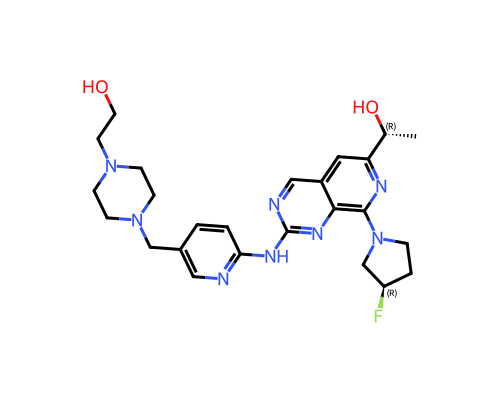 C[C@@H](O)c1cc2cnc(Nc3ccc(CN4CCN(CCO)CC4)cn3)nc2c(N2CC[C@@H](F)C2)n1